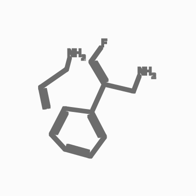 C=CCN.NCC(=CF)c1ccccc1